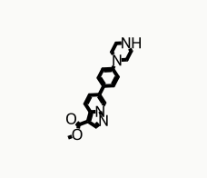 COC(=O)c1cnn2cc(-c3ccc(N4CCNCC4)cc3)ccc12